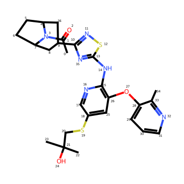 CC(=O)N1C2CCC1CC(c1nsc(Nc3ncc(SCC(C)(C)O)cc3Oc3cccnc3C)n1)C2